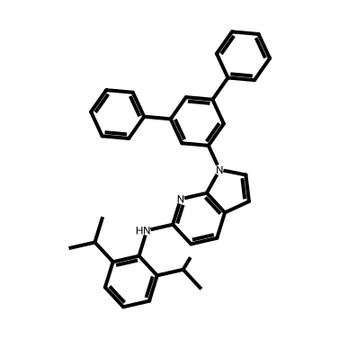 CC(C)c1cccc(C(C)C)c1Nc1ccc2ccn(-c3cc(-c4ccccc4)cc(-c4ccccc4)c3)c2n1